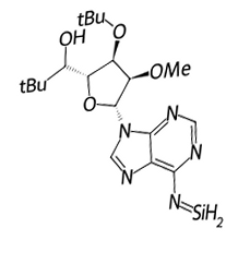 CO[C@@H]1[C@H](OC(C)(C)C)[C@@H](C(O)C(C)(C)C)O[C@H]1n1cnc2c(N=[SiH2])ncnc21